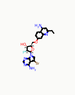 CCc1cc(N)c2ccc(OC[C@H]3O[C@@H](n4cc(Br)c5c(N)ncnc54)[C@@H](F)[C@@H]3O)cc2n1